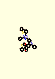 c1ccc(-c2nc(-c3ccc4nc(-c5ccccc5)c5cc6c(cc5c4c3)C3(c4ccccc4Sc4ccccc43)c3ccccc3-6)nc(-c3cccc4c3sc3ccccc34)n2)cc1